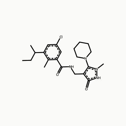 CCC(C)c1cc(Cl)cc(C(=O)NCc2c(N3CCCCC3)n(C)[nH]c2=O)c1C